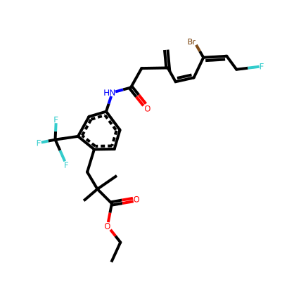 C=C(/C=C\C(Br)=C/CF)CC(=O)Nc1ccc(CC(C)(C)C(=O)OCC)c(C(F)(F)F)c1